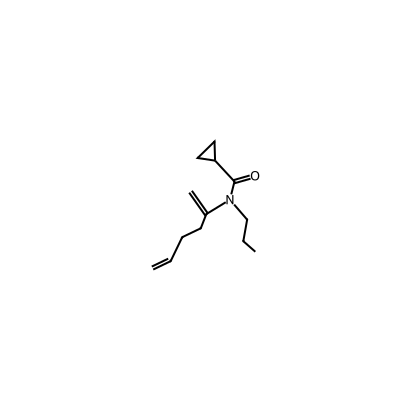 C=CCCC(=C)N(CCC)C(=O)C1CC1